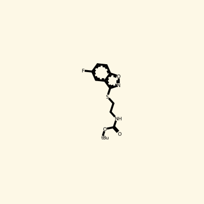 CC(C)(C)OC(=O)NCCSc1noc2ccc(F)cc12